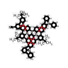 CC(C)(C)c1cc(-c2ccccc2)c(N2c3cc(-c4ccc5c(c4)c4ccccc4n5-c4ccccc4)ccc3B3c4ccc(-n5c6ccc(C#N)cc6c6cc(C(C)(C)C)ccc65)cc4N(c4c(-c5ccccc5)cc(C(C)(C)C)cc4-c4ccccc4)c4cc(-c5ccc6c(c5)c5cccc7c8ccccc8n6c75)cc2c43)c(-c2ccccc2)c1